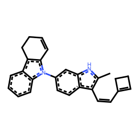 Cc1[nH]c2cc(-n3c4c(c5ccccc53)CCC=C4)ccc2c1/C=C\C1=CCC1